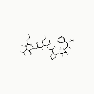 CCOC(=O)N(C)C(C(=O)NCC(=O)N(C)[C@@H]([C@@H](C)CC)[C@@H](CC(=O)N1CCC[C@H]1[C@H](OC)[C@@H](C)C(=O)N[C@H](C)[C@@H](O)c1ccccc1)OC)C(C)C